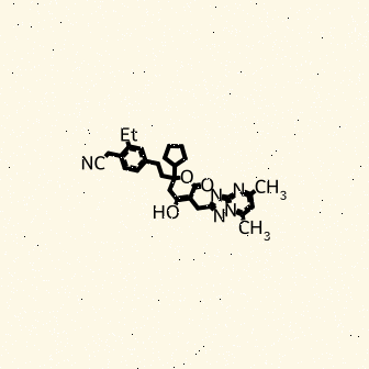 CCc1cc(CCC2(C3CCCC3)CC(O)=C(Cc3nc4nc(C)cc(C)n4n3)C(=O)O2)ccc1CC#N